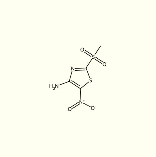 CS(=O)(=O)c1nc(N)c([N+](=O)[O-])s1